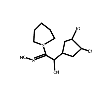 CCC1CC(C(C#N)/C(=N/C#N)N2CCCCC2)CC1CC